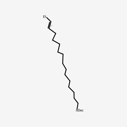 CC/C=C/CCCCCCCCCCCCCCCCCCCCCCC